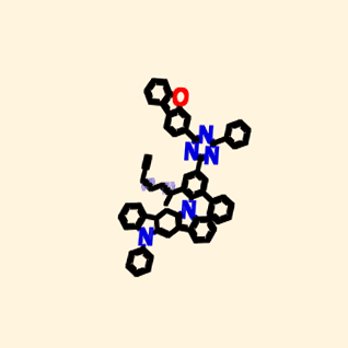 C#C/C=C\C=C(/C)c1cc(-c2nc(-c3ccccc3)nc(-c3ccc4c(c3)oc3ccccc34)n2)cc(-c2ccccc2)c1-n1c2c(c3ccccc31)C=C1C(C2)c2ccccc2N1c1ccccc1